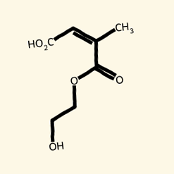 CC(=CC(=O)O)C(=O)OCCO